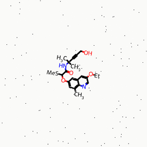 CCOc1cnc2c(C)cc(OC(SC)C(=O)NC(C)(C)C#CCO)cc2c1